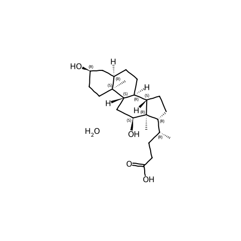 C[C@H](CCC(=O)O)[C@H]1CC[C@H]2[C@@H]3CC[C@@H]4C[C@H](O)CC[C@]4(C)[C@H]3C[C@H](O)[C@]12C.O